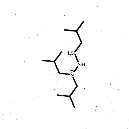 CC(C)C[SiH2][SiH2][SiH](CC(C)C)CC(C)C